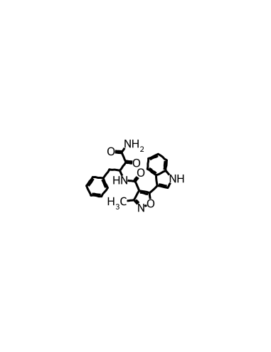 Cc1noc(-c2c[nH]c3ccccc23)c1C(=O)NC(Cc1ccccc1)C(=O)C(N)=O